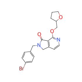 O=C1c2c(ccnc2OCC2CCCO2)CN1Cc1ccc(Br)cc1